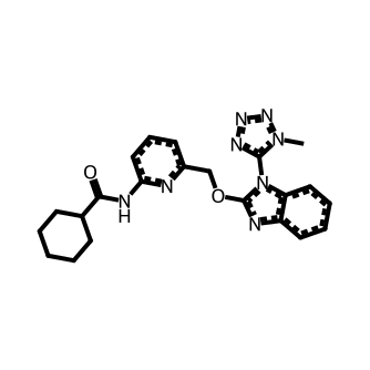 Cn1nnnc1-n1c(OCc2cccc(NC(=O)C3CCCCC3)n2)nc2ccccc21